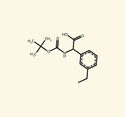 CC(C)(C)OC(=O)NC(C(=O)O)c1cccc(CI)c1